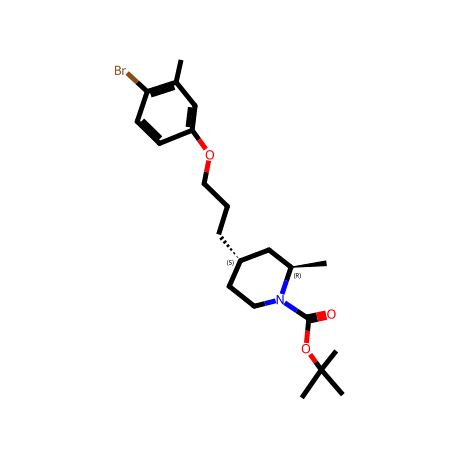 Cc1cc(OCCC[C@H]2CCN(C(=O)OC(C)(C)C)[C@H](C)C2)ccc1Br